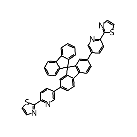 c1ccc2c(c1)-c1ccccc1C21c2cc(-c3ccc(-c4nccs4)nc3)ccc2-c2ccc(-c3ccc(-c4nccs4)nc3)cc21